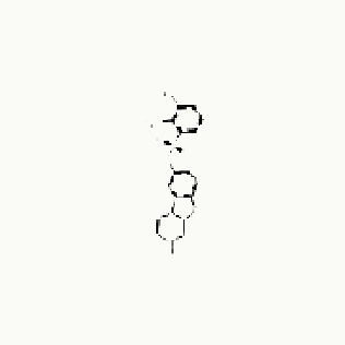 Cc1c(Cl)cccc1S(=O)(=O)Oc1ccc2c(c1)C1CCNCC1O2